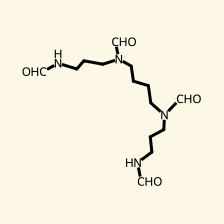 O=CNCCCN(C=O)CCCCN(C=O)CCCNC=O